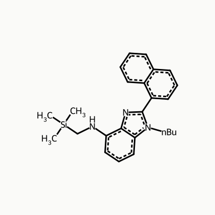 CCCCn1c(-c2cccc3ccccc23)nc2c(NC[Si](C)(C)C)cccc21